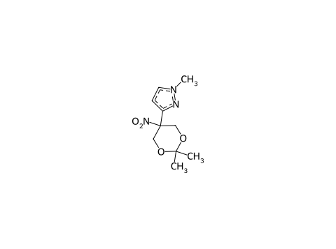 Cn1ccc(C2([N+](=O)[O-])COC(C)(C)OC2)n1